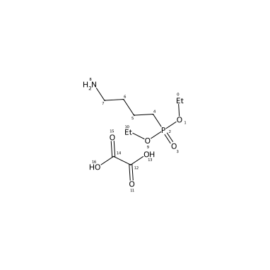 CCOP(=O)(CCCCN)OCC.O=C(O)C(=O)O